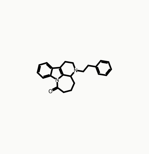 O=C1CCCC2c3c(c4ccccc4n31)CCN2CCc1ccccc1